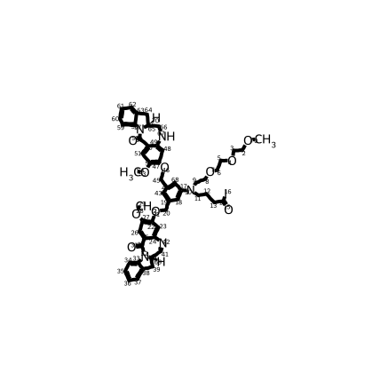 COCCOCCOCCN(CCCC(=O)I)c1cc(COc2cc3c(cc2OC)C(=O)N2c4ccccc4C[C@H]2C=N3)cc(COc2cc3c(cc2OC)C(=O)N2c4ccccc4C[C@H]2CN3)c1